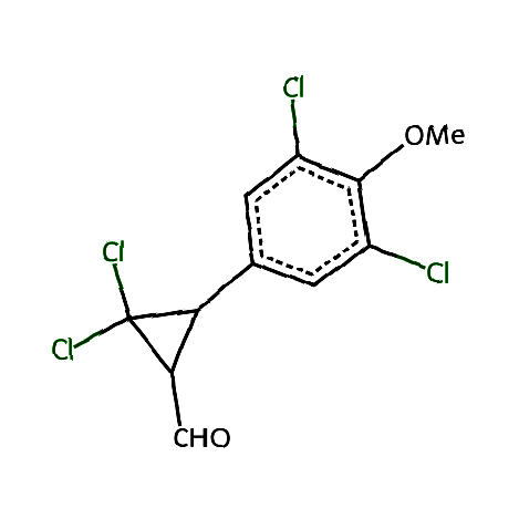 COc1c(Cl)cc(C2C(C=O)C2(Cl)Cl)cc1Cl